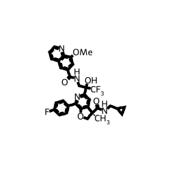 COc1cc(C(=O)NCC(O)(c2cc3c(c(-c4ccc(F)cc4)n2)OC[C@]3(C)C(=O)NCC2CC2)C(F)(F)F)cc2cccnc12